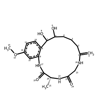 C=C1CCCC(O)C(O)c2ccc(OC)cc2NC(=O)[C@@H](C)NC(=O)CN1